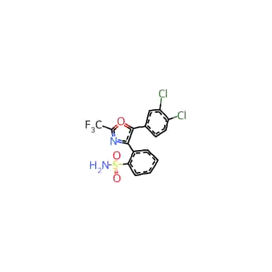 NS(=O)(=O)c1ccccc1-c1nc(C(F)(F)F)oc1-c1ccc(Cl)c(Cl)c1